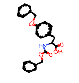 O=C(NC(Cc1ccc(OCc2ccccc2)cc1)C(=O)O)OCc1ccccc1